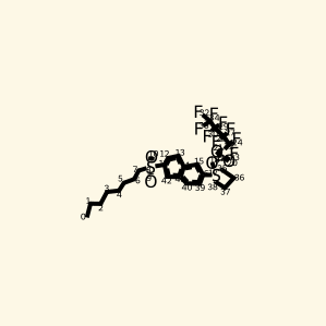 CCCCCCCCS(=O)(=O)c1ccc2cc(S3(OS(=O)(=O)C(F)(F)C(F)(F)C(F)(F)C(F)(F)F)CCCC3)ccc2c1